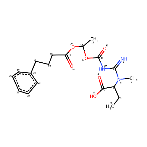 CCC(C(=O)O)N(C)C(=N)NC(=O)OC(C)OC(=O)CCCc1ccccc1